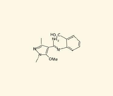 COc1c(C(N)=Nc2ccccc2C(=O)O)c(C)nn1C